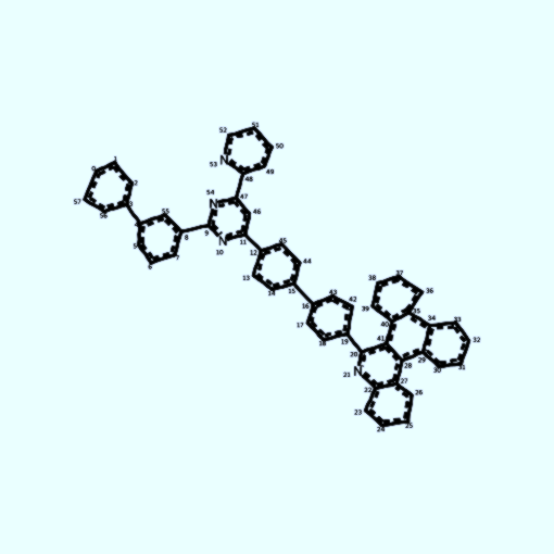 c1ccc(-c2cccc(-c3nc(-c4ccc(-c5ccc(-c6nc7ccccc7c7c8ccccc8c8ccccc8c67)cc5)cc4)cc(-c4ccccn4)n3)c2)cc1